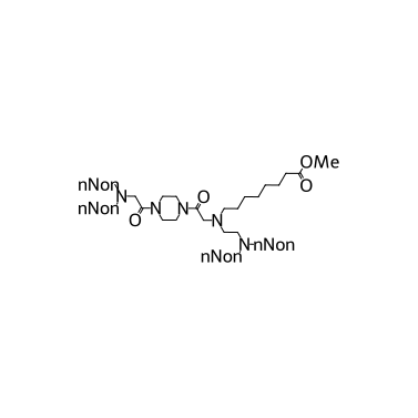 CCCCCCCCCN(CCCCCCCCC)CCN(CCCCCCCC(=O)OC)CC(=O)N1CCN(C(=O)CN(CCCCCCCCC)CCCCCCCCC)CC1